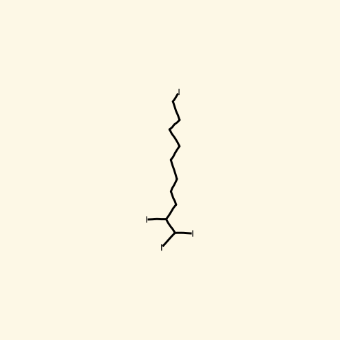 ICCCCCCCCC(I)C(I)I